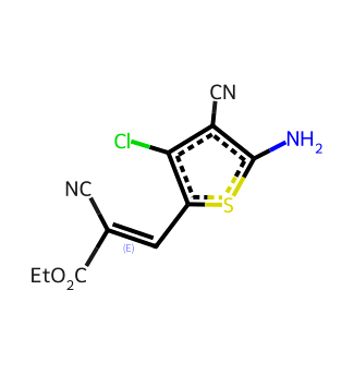 CCOC(=O)/C(C#N)=C/c1sc(N)c(C#N)c1Cl